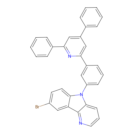 Brc1ccc2c(c1)c1ncccc1n2-c1cccc(-c2cc(-c3ccccc3)cc(-c3ccccc3)n2)c1